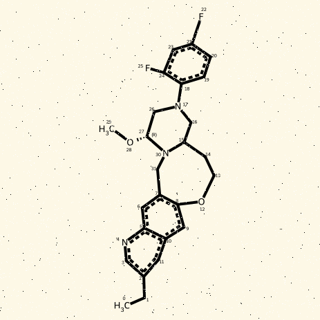 CCc1cnc2cc3c(cc2c1)OCCC1CN(c2ccc(F)cc2F)C[C@@H](OC)N1C3